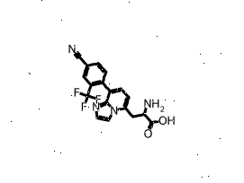 N#Cc1ccc(-c2ccc(CC(N)C(=O)O)n3ccnc23)c(C(F)(F)F)c1